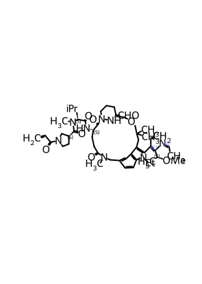 C=CC(=O)N1CC[C@H](C(=O)N(C)[C@H](C(=O)N[C@H]2CCC(=O)N(C)Cc3ccc4c(c3)c(c(/C(C=C)=C(/N=C\C)[C@H](C)OC)n4CC)CC(C)(C)COC[C@@]3(C=O)CCCN(N3)C2=O)C(C)C)C1